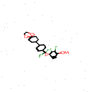 Oc1ccc(OC(F)(F)C2CCC(C3CCC4(CC3)OCCO4)CC2)c(F)c1F